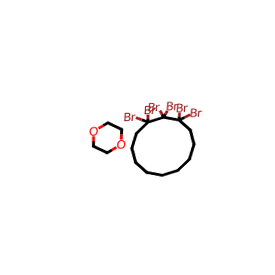 BrC1(Br)CCCCCCCCCC(Br)(Br)C1(Br)Br.C1COCCO1